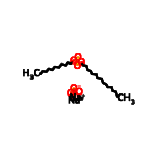 CCCCCCCCCCCCCCCCOS(=O)(=O)OCCCCCCCCCCCC.O=S(=O)([O-])[O-].[Na+].[Na+]